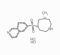 C[C@@H]1CCNCCN(S(=O)(=O)c2ccc3cnccc3c2)C1.Cl.Cl